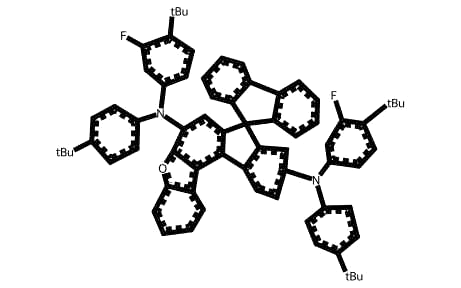 CC(C)(C)c1ccc(N(c2ccc(C(C)(C)C)c(F)c2)c2ccc3c(c2)C2(c4ccccc4-c4ccccc42)c2cc(N(c4ccc(C(C)(C)C)cc4)c4ccc(C(C)(C)C)c(F)c4)c4oc5ccccc5c4c2-3)cc1